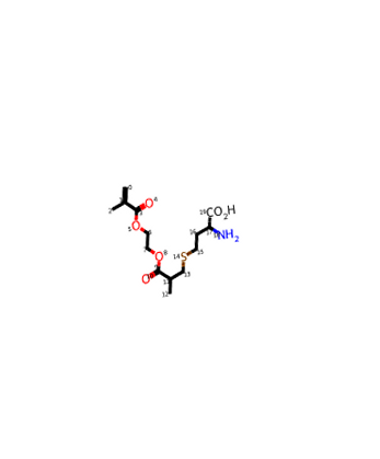 C=C(C)C(=O)OCCOC(=O)C(C)CSCCC(N)C(=O)O